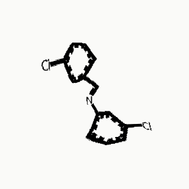 Clc1cccc(C=Nc2cccc(Cl)c2)c1